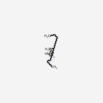 CCCC/C=C\C/C=C\CCCCCCCCC(CCCCCCCC/C=C\C/C=C\CCCCC)CN(C)CCNC(=N)N